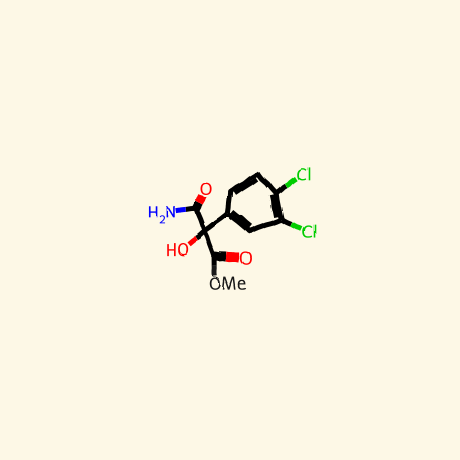 COC(=O)C(O)(C(N)=O)c1ccc(Cl)c(Cl)c1